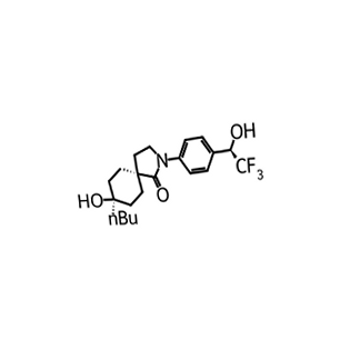 CCCC[C@]1(O)CC[C@@]2(CCN(c3ccc([C@@H](O)C(F)(F)F)cc3)C2=O)CC1